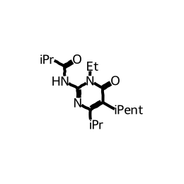 CCCC(C)c1c(C(C)C)nc(NC(=O)C(C)C)n(CC)c1=O